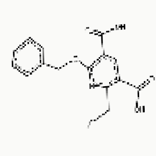 CCc1nc(OCc2ccccc2)c(C(=O)O)cc1C(=O)O